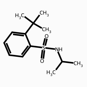 CC(C)NS(=O)(=O)c1ccccc1C(C)(C)C